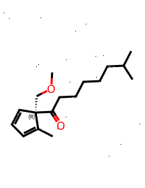 COC[C@@]1(C(=O)CCCCCC(C)C)C=CC=C1C